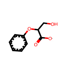 [O]C(=O)C(CO)Oc1ccccc1